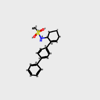 CCCS(=O)(=O)NC1CCCC=C1c1ccc(-c2ccccc2)cc1